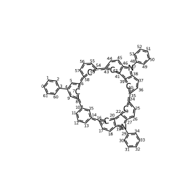 c1ccc(-c2cc3cc(c2)c2cccc(c2)c2ccc4c(c2)c2cc(ccc2n4-c2ccccc2)c2ccc4c(c2)c2cc(ccc2n4-c2ccccc2)c2cccc3c2)cc1